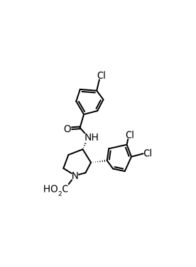 O=C(N[C@H]1CCN(C(=O)O)C[C@H]1c1ccc(Cl)c(Cl)c1)c1ccc(Cl)cc1